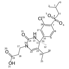 CC(C)CS(=O)(=O)c1ccc([C@]2(C)NC(=O)N(CCC(=O)O)C=C2C(C)C)cc1Cl